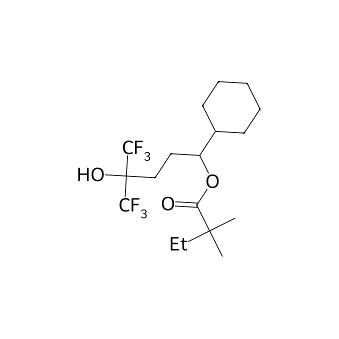 CCC(C)(C)C(=O)OC(CCC(O)(C(F)(F)F)C(F)(F)F)C1CCCCC1